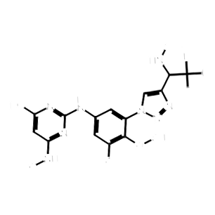 CNc1cc(C)nc(Nc2cc(C)c(OC)c(-n3cc(C(NC)C(F)(F)F)nn3)c2)n1